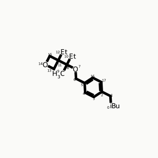 CCC(C)Cc1ccc(COC(C)(CC)C2(CC)COC2)cc1